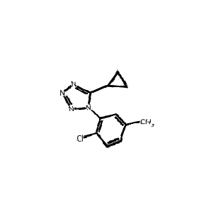 Cc1ccc(Cl)c(-n2nnnc2C2CC2)c1